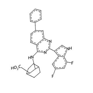 O=C(O)C1C2CCC(CC2)C1Nc1nc(-c2c[nH]c3c(F)cc(F)cc23)nc2cc(-c3ccccc3)ccc12